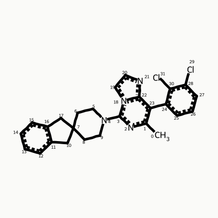 Cc1nc(N2CCC3(CC2)Cc2ccccc2C3)n2ccnc2c1-c1cccc(Cl)c1Cl